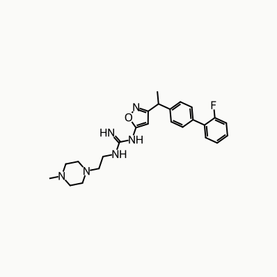 CC(c1ccc(-c2ccccc2F)cc1)c1cc(NC(=N)NCCN2CCN(C)CC2)on1